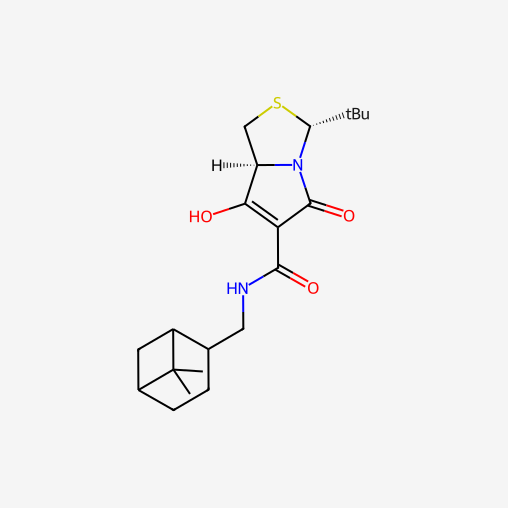 CC1(C)C2CCC(CNC(=O)C3=C(O)[C@H]4CS[C@H](C(C)(C)C)N4C3=O)C1C2